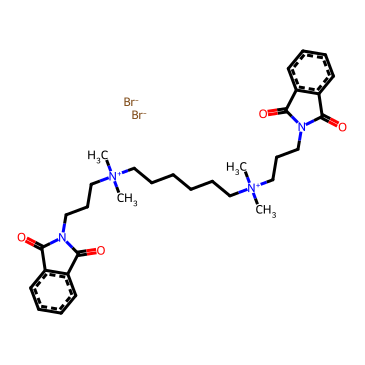 C[N+](C)(CCCCCC[N+](C)(C)CCCN1C(=O)c2ccccc2C1=O)CCCN1C(=O)c2ccccc2C1=O.[Br-].[Br-]